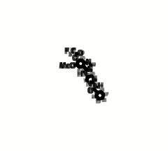 COc1cc2c(Nc3cnc(NC(=O)c4ccccc4)nc3)ncnc2cc1OC(=O)C(F)(F)F